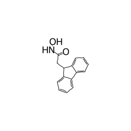 O=C(CC1c2ccccc2-c2ccccc21)NO